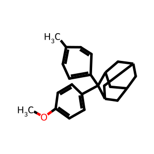 COc1ccc(C2(c3ccc(C)cc3)C3CC4CC(C3)CC2C4)cc1